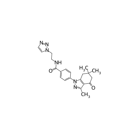 Cc1nn(-c2ccc(C(=O)NCCn3ccnn3)cc2)c2c1C(=O)CC(C)(C)C2